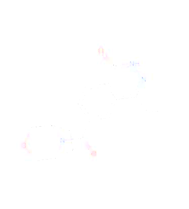 CCc1n[nH]c(=O)c2ccc(C(=O)N3C4CCC3COC4)cc12